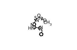 COC1CN(C(=O)c2nc(-c3cnc4[nH]cc(-c5cnn(Cc6ccccc6)c5)c4c3)cs2)C1